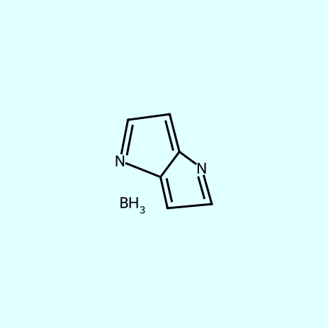 B.C1=NC2=CC=NC2=C1